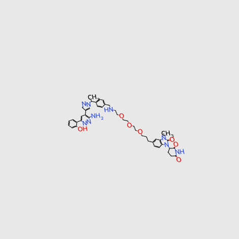 CC(c1ccc(CNCCOCCOCCOCCCc2ccc3c(c2)n(C)c(=O)n3C2CCC(=O)NC2=O)cc1)n1cc(-c2cc(-c3ccccc3O)nnc2N)cn1